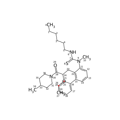 CCCCCCNC(=S)N(C)c1cccc(-c2ccccc2)c1CC(OCC)C(=O)N1CCC(C)CC1